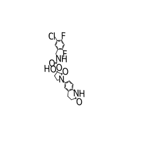 O=C1CCc2cc(N3CC[C@](O)(OC(=O)NCc4cc(Cl)c(F)cc4F)C3=O)ccc2N1